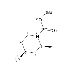 C[C@H]1C[C@@H](N)CCN1C(=O)OC(C)(C)C